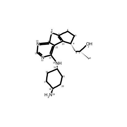 C[C@@H](O)C[C@H]1CCc2sc3ncnc(N[C@H]4CC[C@H](N)CC4)c3c21